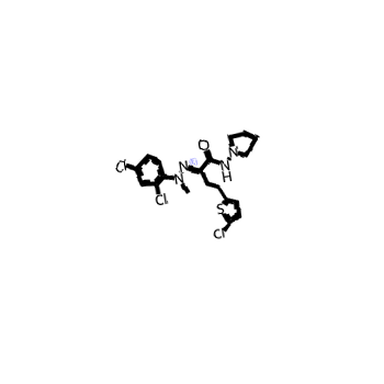 CN(/N=C(\CCc1ccc(Cl)s1)C(=O)NN1CCCC1)c1ccc(Cl)cc1Cl